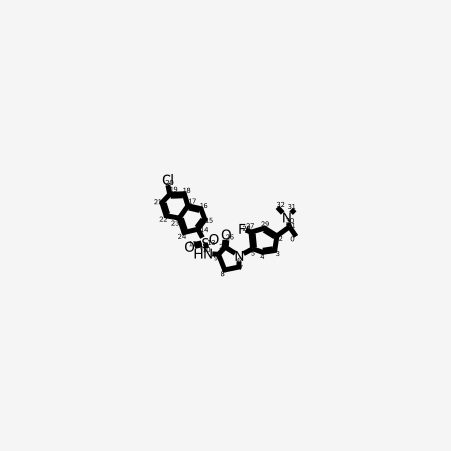 CC(c1ccc(N2CCC(NS(=O)(=O)c3ccc4cc(Cl)ccc4c3)C2=O)c(F)c1)N(C)C